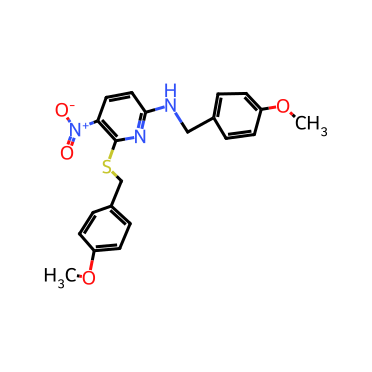 COc1ccc(CNc2ccc([N+](=O)[O-])c(SCc3ccc(OC)cc3)n2)cc1